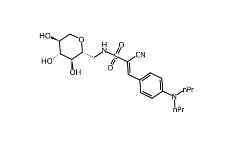 CCCN(CCC)c1ccc(/C=C(\C#N)S(=O)(=O)NC[C@H]2OC[C@H](O)[C@@H](O)[C@@H]2O)cc1